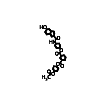 CC(=O)Oc1ccc(OC(=O)c2cccc(C(=O)Oc3ccc(NC(=O)c4ccc5cc(O)ccc5c4)cc3)c2)cc1